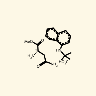 CC(C)(Nc1cccc2ccccc12)C(=O)O.COC(=O)[C@@H](N)CC(N)=O